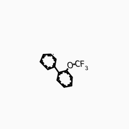 FC(F)(F)Oc1ccccc1-c1c[c]ccc1